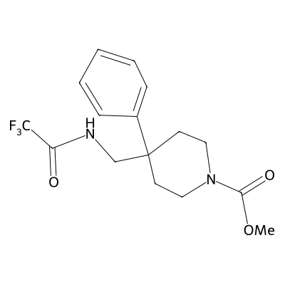 COC(=O)N1CCC(CNC(=O)C(F)(F)F)(c2ccccc2)CC1